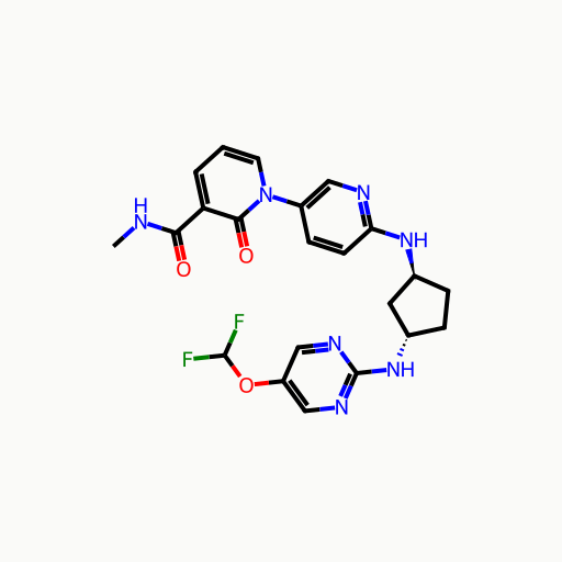 CNC(=O)c1cccn(-c2ccc(N[C@H]3CC[C@H](Nc4ncc(OC(F)F)cn4)C3)nc2)c1=O